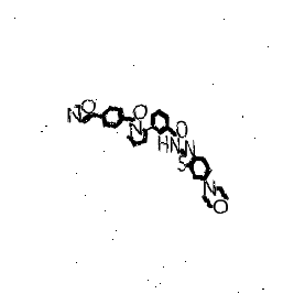 O=C(Nc1nc2c(s1)C[C@@H](N1CCOCC1)CC2)c1cccc([C@H]2CCCN2C(=O)C2=CCC(c3cnco3)C=C2)c1